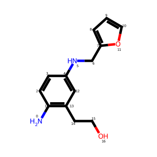 Nc1ccc(NCc2ccco2)cc1CCO